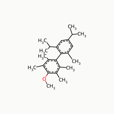 COc1c(C)c(C)c(-c2c(C)cc(C(C)C)cc2C(C)C)c(C)c1C